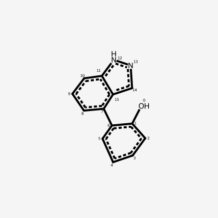 Oc1ccc[c]c1-c1cccc2[nH]ncc12